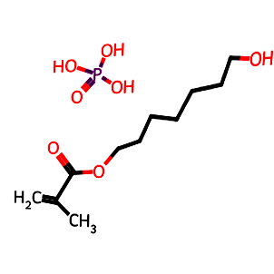 C=C(C)C(=O)OCCCCCCCO.O=P(O)(O)O